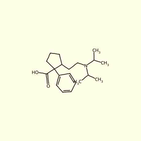 CC(C)N(CCC1CCCC1(C(=O)O)c1ccccc1)C(C)C